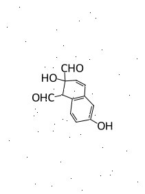 O=CC1c2ccc(O)cc2C=CC1(O)C=O